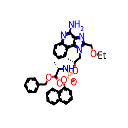 CCOCc1nc2c(N)nc3ccccc3c2n1C[C@@H](C)O[P@@](=O)(N[C@@H](C)C(=O)OCc1ccccc1)Oc1cccc2ccccc12